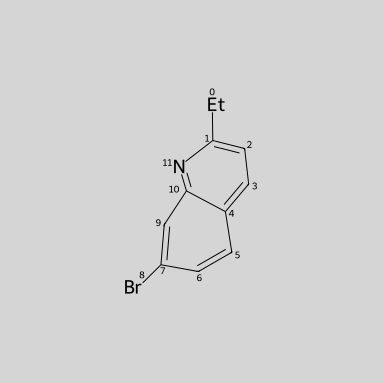 CCc1ccc2ccc(Br)cc2n1